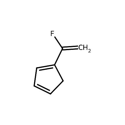 C=C(F)C1=CC=CC1